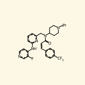 CC(C)N1CCC(N(Cc2cccc(Nc3ccncc3F)n2)C(=O)C=Cc2ccc(C(F)(F)F)cc2)CC1